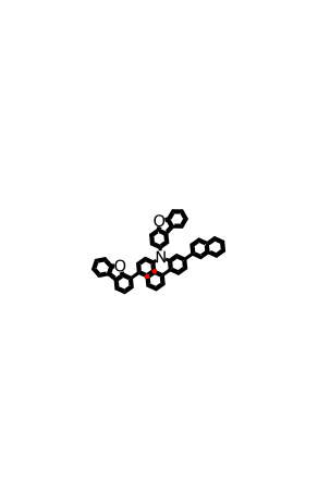 c1ccc(-c2ccc(-c3ccc4ccccc4c3)cc2N(c2ccc(-c3cccc4c3oc3ccccc34)cc2)c2ccc3oc4ccccc4c3c2)cc1